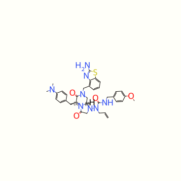 C=CCN(C(=O)NCc1ccc(OC)cc1)N1CC(=O)N2[C@@H](Cc3ccc(N(C)C)cc3)C(=O)N(Cc3cccc4sc(N)nc34)C[C@@H]21